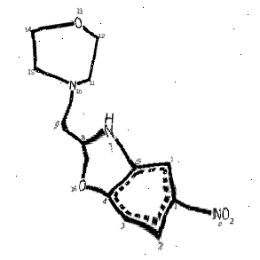 O=[N+]([O-])c1ccc2c(c1)NC(CN1CCOCC1)O2